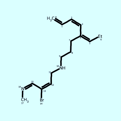 C=C/C=C\C(=C/CC)CCCNC/C=C(Br)\C=N/C